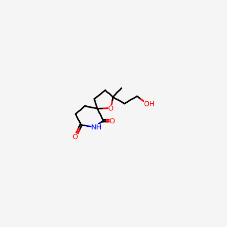 CC1(CCO)CCC2(CCC(=O)NC2=O)O1